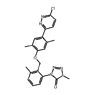 Cc1cc(-c2ccc(Cl)nn2)c(C)cc1OCc1c(C)cccc1-n1nnn(C)c1=O